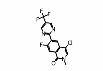 Cn1cc(Cl)c2cc(-c3ncc(C(F)(F)F)cn3)c(F)cc2c1=O